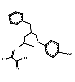 CSc1ccc(OCC(Cc2ccccc2)CN(C)C)cc1.O=C(O)C(=O)O